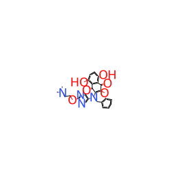 CN(C)CCOc1ncc(N2Cc3ccccc3OC3=C2C(=O)c2c(O)ccc(O)c2C3=O)cn1